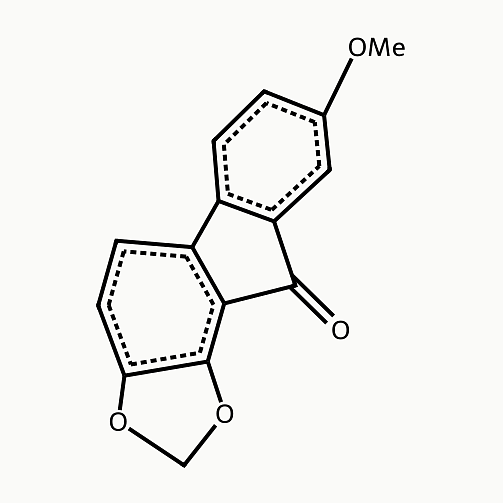 COc1ccc2c(c1)C(=O)c1c-2ccc2c1OCO2